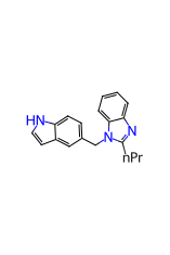 CCCc1nc2ccccc2n1Cc1ccc2[nH]ccc2c1